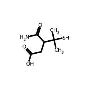 CC(C)(S)C(CC(=O)O)C(N)=O